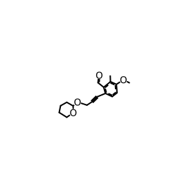 COc1ccc(C#CCOC2CCCCO2)c(C=O)c1C